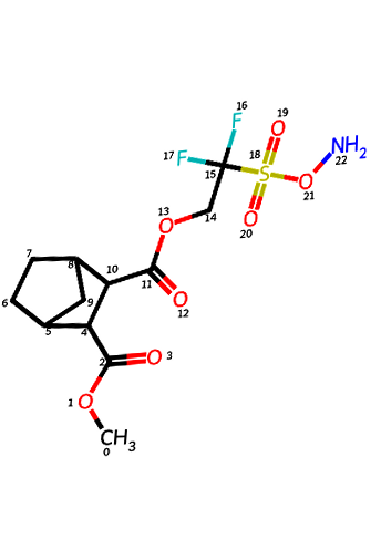 COC(=O)C1C2CCC(C2)C1C(=O)OCC(F)(F)S(=O)(=O)ON